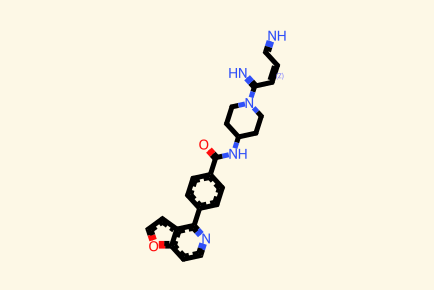 N=C/C=C\C(=N)N1CCC(NC(=O)c2ccc(-c3nccc4occc34)cc2)CC1